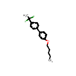 CCCCCOc1ccc(-c2ccc(C(C)(F)F)cc2)cc1